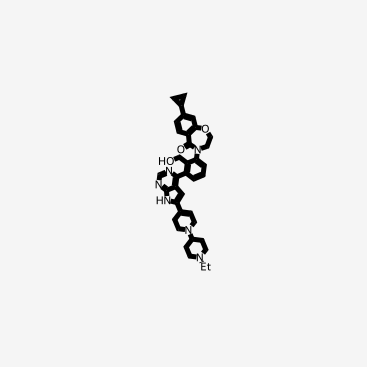 CCN1CCC(N2CC=C(c3cc4c(-c5cccc(N6CCOc7cc(C8CC8)ccc7C6=O)c5CO)ncnc4[nH]3)CC2)CC1